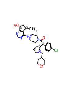 C[C@@H]1C[C@@H](O)c2ncnc(N3CCN(C(=O)[C@@H](c4ccc(Cl)cc4)[C@@H]4CCCN4CC4CCOCC4)CC3)c21